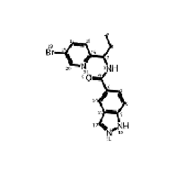 CCC(NC(=O)c1ccc2[nH]ncc2c1)c1ccc(Br)cn1